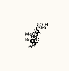 COc1nc(CN(C(=O)O)C(C)(C)C)cc(C)c1CNC(=O)c1cc(Br)cc2c1c(C)cn2C(C)C